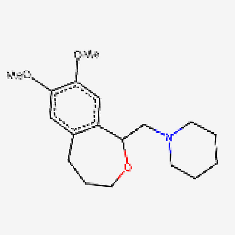 COc1cc2c(cc1OC)C(CN1CCCCC1)OCCC2